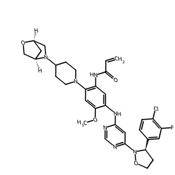 C=CC(=O)Nc1cc(Nc2cc(N3OCC[C@@H]3c3ccc(Cl)c(F)c3)ncn2)c(OC)cc1N1CCC(N2C[C@H]3C[C@@H]2CO3)CC1